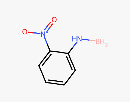 BNc1ccccc1[N+](=O)[O-]